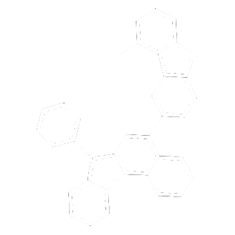 Cc1cccc2oc3ccc(-c4cc5c(c6ccccc46)c4ccccc4n5-c4ccccc4)cc3c12